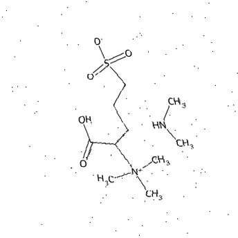 CNC.C[N+](C)(C)C(CCCS(=O)(=O)[O-])C(=O)O